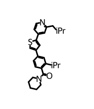 CC(C)Cc1cc(-c2cc(-c3ccc(C(=O)N4CCCCC4)c(C(C)C)c3)cs2)ccn1